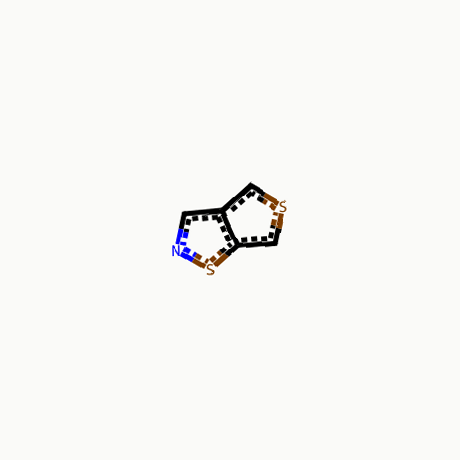 c1nsc2cscc12